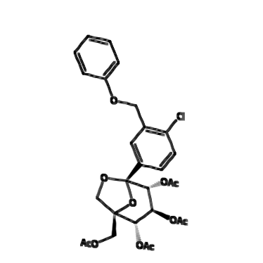 CC(=O)OC[C@@]12CO[C@@](c3ccc(Cl)c(COc4ccccc4)c3)(O1)[C@H](OC(C)=O)[C@@H](OC(C)=O)[C@@H]2OC(C)=O